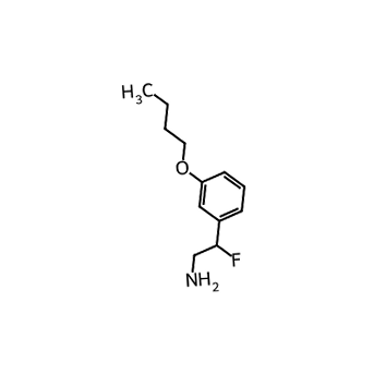 CCCCOc1cccc(C(F)CN)c1